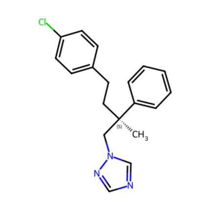 C[C@@](CCc1ccc(Cl)cc1)(Cn1cncn1)c1ccccc1